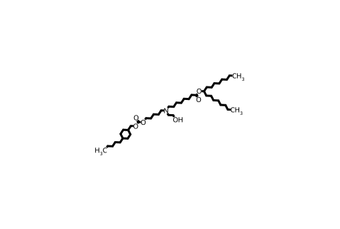 CCCCCCCCC(CCCCCCCC)OC(=O)CCCCCCCN(CCO)CCCCCOC(=O)OCC1CCC(CCCCC)CC1